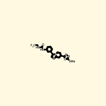 CSc1nnc(-c2ccn3c(-c4cccc(NC(=O)NCC(F)(F)F)c4)cnc3c2)o1